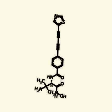 CC(C)(N)[C@H](NC(=O)c1ccc(C#CC#Cc2cncs2)cc1)C(=O)NO